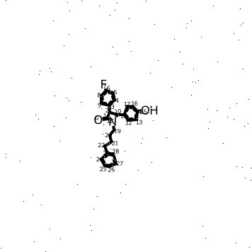 O=C1C(c2ccc(F)cc2)C(c2ccc(O)cc2)N1CCCCc1ccccc1